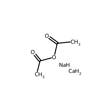 CC(=O)OC(C)=O.[CaH2].[NaH]